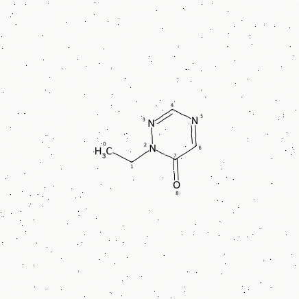 CCn1ncncc1=O